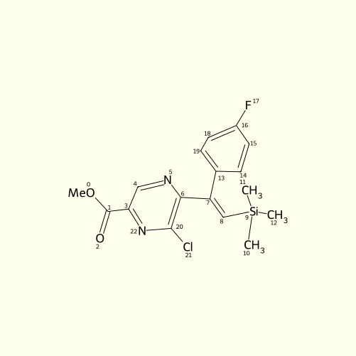 COC(=O)c1cnc(C(=C[Si](C)(C)C)c2ccc(F)cc2)c(Cl)n1